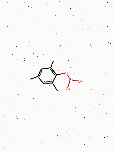 Cc1cc(C)c(OP(O)O)c(C)c1